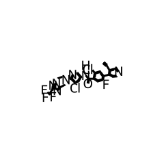 C#Cc1cnccc1-c1cc(Cl)c(C(=O)Nc2cnc(N3CCn4nc(C(F)(F)F)nc4C3)c(Cl)c2)cc1F